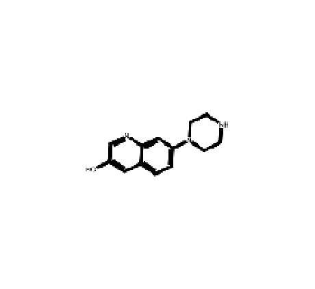 Oc1cnc2cc(N3CCNCC3)ccc2c1